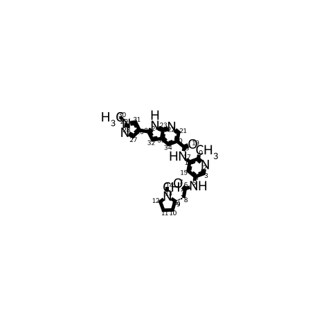 Cc1ncc(NC(=O)C[C@@H]2CCCN2C)cc1NC(=O)c1cnc2[nH]c(-c3cnn(C)c3)cc2c1